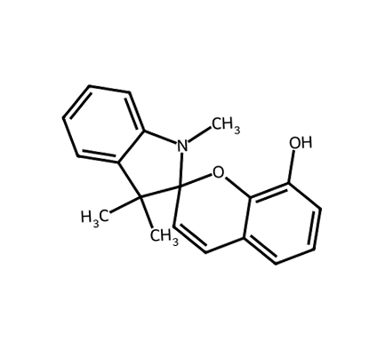 CN1c2ccccc2C(C)(C)C12C=Cc1cccc(O)c1O2